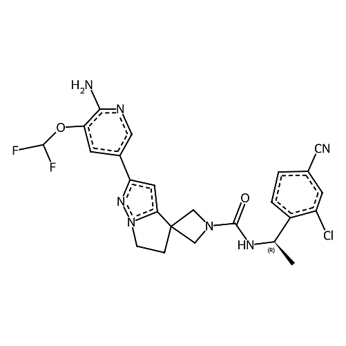 C[C@@H](NC(=O)N1CC2(CCn3nc(-c4cnc(N)c(OC(F)F)c4)cc32)C1)c1ccc(C#N)cc1Cl